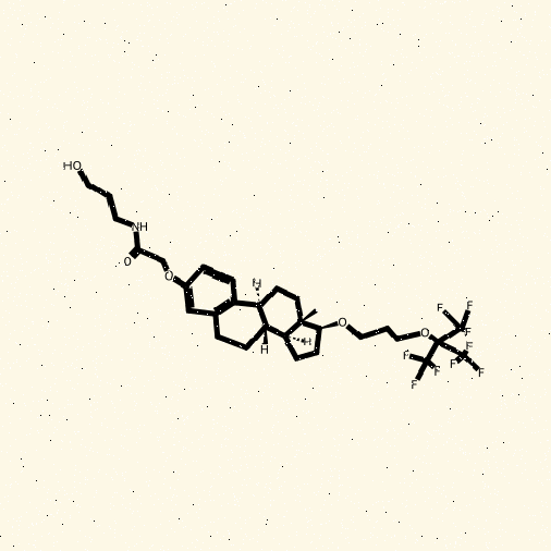 C[C@]12CC[C@@H]3c4ccc(OCC(=O)NCCCO)cc4CC[C@H]3[C@@H]1CC[C@@H]2OCCCOC(C(F)(F)F)(C(F)(F)F)C(F)(F)F